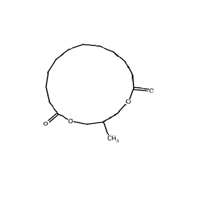 CC1COC(=O)CCCCCCCCCCC(=O)OC1